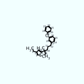 CCc1csc(C(C)(CC)CCCc2cccc(Oc3ccccc3)c2)c1